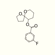 O=C(OC1CCCOC12CCCO2)c1cccc(F)c1